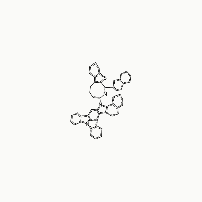 C1=C(n2c3cc4c5ccccc5n5c6ccccc6c(c3c3ccc6ccccc6c32)c45)\N=C(\c2ccc3ccccc3c2)c2sc3ccccc3c2CC/1